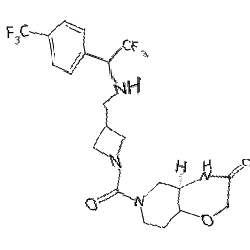 O=C1COC2CCN(C(=O)N3CC(CNC(c4ccc(C(F)(F)F)cc4)C(F)(F)F)C3)C[C@H]2N1